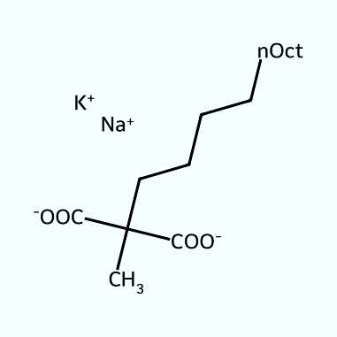 CCCCCCCCCCCCC(C)(C(=O)[O-])C(=O)[O-].[K+].[Na+]